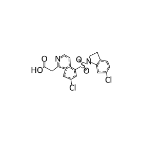 O=C(O)Cc1nccc2c(S(=O)(=O)N3CCc4ccc(Cl)cc43)cc(Cl)cc12